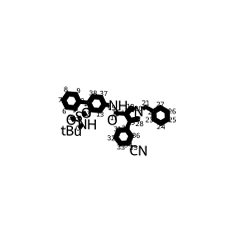 CC(C)(C)NS(=O)(=O)c1ccccc1-c1ccc(NC(=O)c2cn(Cc3ccccc3)cc2-c2cccc(C#N)c2)cc1